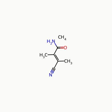 C.CC(C#N)=C(C)C(N)=O